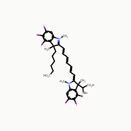 CCCCC(C(=O)O)C1(C)/C(=C/C=C/C=C/C=C/C2=[N+](C)c3cc(I)c(I)c(I)c3C2(C)CCCCCC(=O)O)N(C)c2cc(I)c(I)c(I)c21